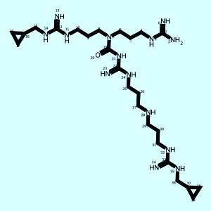 N=C(N)NCCCN(CCCNC(=N)NCC1CC1)C(=O)NC(=N)NCCCNCCCNC(=N)NCC1CC1